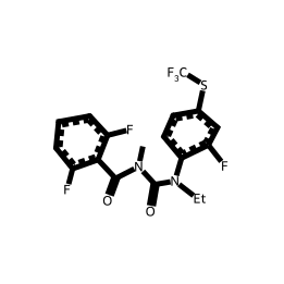 CCN(C(=O)N(C)C(=O)c1c(F)cccc1F)c1ccc(SC(F)(F)F)cc1F